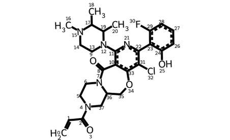 C=CC(=O)N1CCN2C(=O)c3c(N4CCN(C)C(C)C4C)nc(-c4c(O)cccc4F)c(Cl)c3OCC2C1